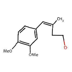 COc1ccc(C=C(C)CC[O])cc1OC